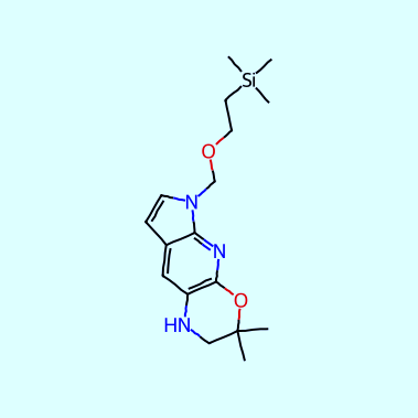 CC1(C)CNc2cc3ccn(COCC[Si](C)(C)C)c3nc2O1